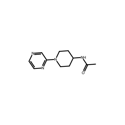 CC(=O)NC1CCN(c2cnccn2)CC1